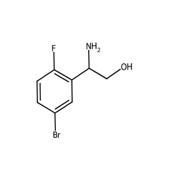 NC(CO)c1cc(Br)ccc1F